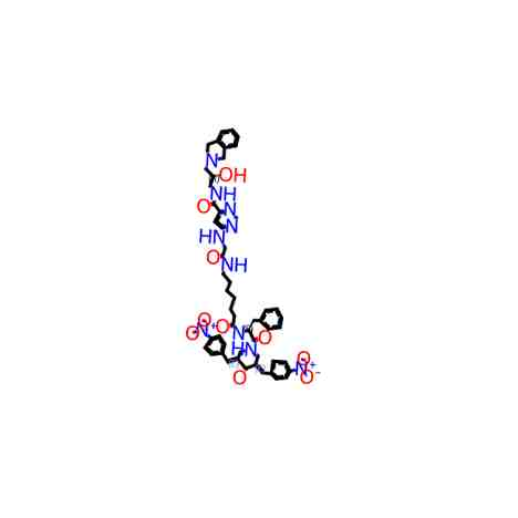 O=C(CNc1cc(C(=O)NC[C@@H](O)CN2CCc3ccccc3C2)ncn1)NCCCCCCC(=O)N[C@@H](Cc1ccccc1)C(=O)N1C/C(=C\c2ccc([N+](=O)[O-])cc2)C(=O)/C(=C/c2ccc([N+](=O)[O-])cc2)C1